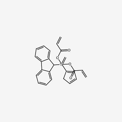 C=CC(=O)[O][Ti](=[CH2])([O]C(=O)C=C)([C]1=CC=CC1)[CH]1c2ccccc2-c2ccccc21